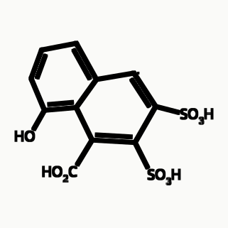 O=C(O)c1c(S(=O)(=O)O)c(S(=O)(=O)O)[c]c2cccc(O)c12